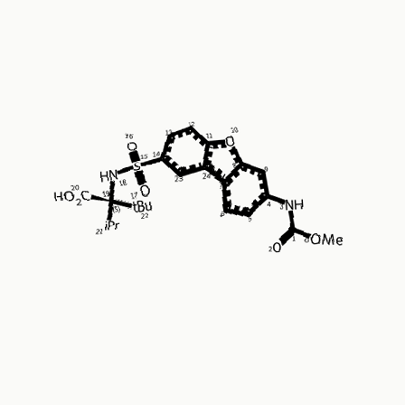 COC(=O)Nc1ccc2c(c1)oc1ccc(S(=O)(=O)N[C@@](C(=O)O)(C(C)C)C(C)(C)C)cc12